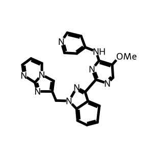 COc1cnc(-c2nn(Cc3cn4cccnc4n3)c3ccccc23)nc1Nc1ccncc1